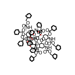 [N-]=[N+]=NC[C@@H]1C[C@H](OC(=O)c2ccccc2)[C@@H](NC(=O)OCc2ccccc2)[C@@H](O[C@H]2[C@H](O[C@@H]3O[C@H](OC(=O)c4ccccc4)[C@H](O[C@H]4O[C@@H](CNC(=O)OCc5ccccc5)[C@@H](OC(=O)c5ccccc5)[C@H](OC(=O)c5ccccc5)[C@H]4NC(=O)OCc4ccccc4)[C@H]3COC(=O)c3ccccc3)[C@@H](OC(=O)c3ccccc3)[C@H](NC(=O)OCc3ccccc3)C[C@@H]2NC(=O)OCc2ccccc2)O1